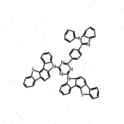 c1ccc(-n2c(-c3ccc(-c4nc(-n5c6ccccc6c6c7sc8ccccc8c7ccc65)nc(-n5c6ccccc6c6c7sc8ccccc8c7ccc65)n4)cc3)nc3ccccc32)cc1